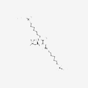 CCCCCCCCC(=O)OCCCCCCCOC(=O)C[C@H](OC(=O)CC(C)N(C)C)C(=O)OCCCCCCCOC(=O)CCCCCCCC